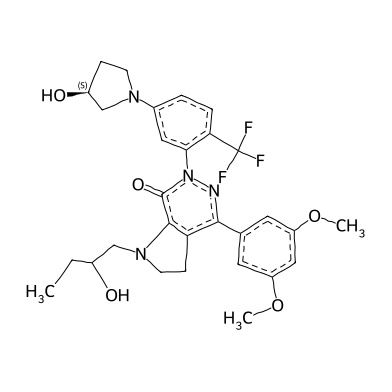 CCC(O)CN1CCc2c(-c3cc(OC)cc(OC)c3)nn(-c3cc(N4CC[C@H](O)C4)ccc3C(F)(F)F)c(=O)c21